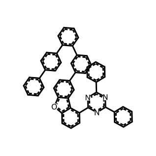 c1ccc(-c2ccc(-c3ccccc3-c3cccc(-c4ccc5oc6cccc(-c7nc(-c8ccccc8)nc(-c8ccccc8)n7)c6c5c4)c3)cc2)cc1